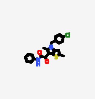 Cc1cc2c(s1)c(C(=O)C(=O)Nc1ccccc1)c(C)n2Cc1ccc(Cl)cc1